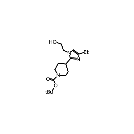 CCc1cn(CCO)c(C2CCN(C(=O)OC(C)(C)C)CC2)n1